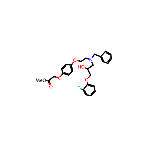 COC(=O)COc1ccc(OCCN(Cc2ccccc2)CC(O)COc2ccccc2F)cc1